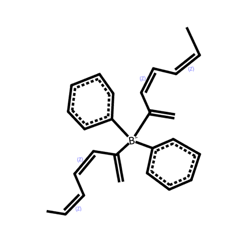 C=C(/C=C\C=C/C)[B-](C(=C)/C=C\C=C/C)(c1ccccc1)c1ccccc1